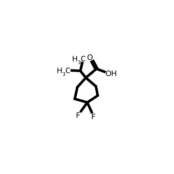 CC(C)C1(C(=O)O)CCC(F)(F)CC1